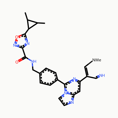 CN/C=C(\C=N)c1cc2nccn2c(-c2ccc(CNC(=O)c3noc(C4C(C)C4C)n3)cc2)n1